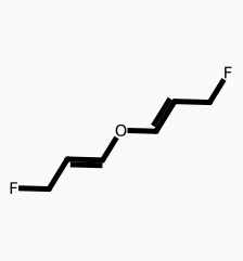 FCC=COC=CCF